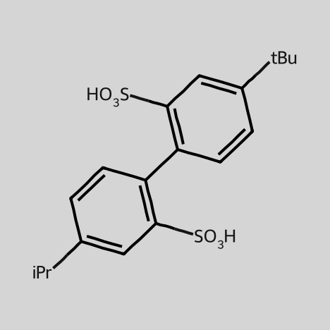 CC(C)c1ccc(-c2ccc(C(C)(C)C)cc2S(=O)(=O)O)c(S(=O)(=O)O)c1